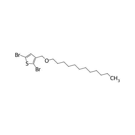 CCCCCCCCCCCCOCc1cc(Br)sc1Br